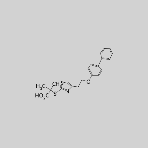 CC(C)(Sc1nc(CCOc2ccc(-c3ccccc3)cc2)cs1)C(=O)O